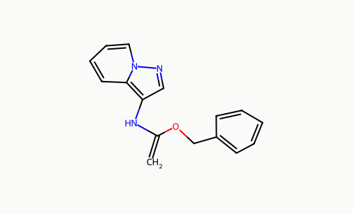 C=C(Nc1cnn2ccccc12)OCc1ccccc1